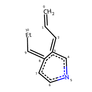 C=C/C=c1/cncc/c1=C/CC